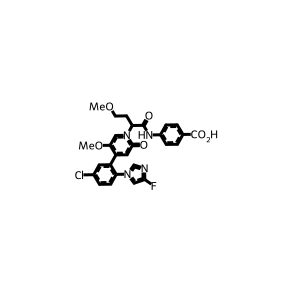 COCCC(C(=O)Nc1ccc(C(=O)O)cc1)n1cc(OC)c(-c2cc(Cl)ccc2-n2cnc(F)c2)cc1=O